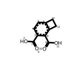 O=C(O)c1ccc2c(c1C(=O)O)CC2